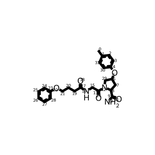 Cc1ccc(OC2CC(C(N)=O)N(C(=O)CNC(=O)CCCOc3ccccc3)C2)cc1